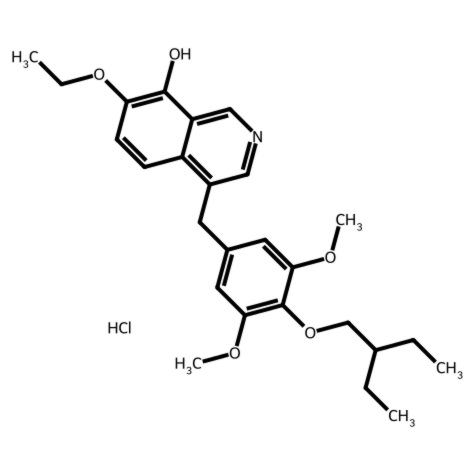 CCOc1ccc2c(Cc3cc(OC)c(OCC(CC)CC)c(OC)c3)cncc2c1O.Cl